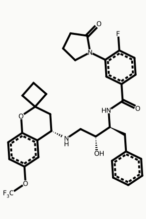 O=C(N[C@@H](Cc1ccccc1)[C@H](O)CN[C@H]1CC2(CCC2)Oc2ccc(OC(F)(F)F)cc21)c1ccc(F)c(N2CCCC2=O)c1